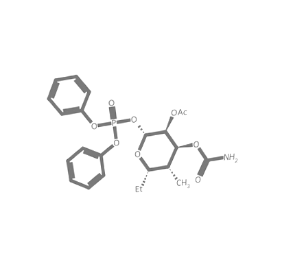 CC[C@@H]1O[C@H](OP(=O)(Oc2ccccc2)Oc2ccccc2)[C@@H](OC(C)=O)[C@@H](OC(N)=O)[C@@H]1C